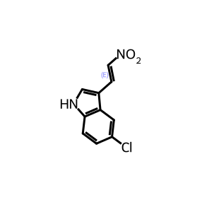 O=[N+]([O-])/C=C/c1c[nH]c2ccc(Cl)cc12